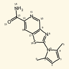 Cc1ccc(C)n1-c1nc2cnc(C(N)=O)cc2s1